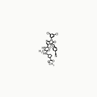 COC(=O)[C@@H]1CCC(NC(=O)[C@H](C)NC(=O)c2cnc3n2[C@](C)(Cc2ccc(C#N)cc2)C(=O)N3c2cc(Cl)cc(Cl)c2)C1